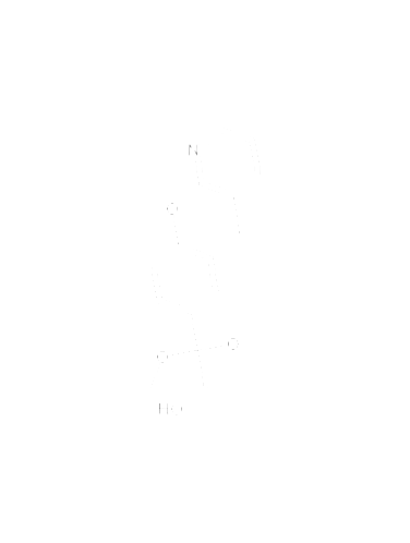 COC(OC)(c1ccc2c(c1)Cc1cccnc1O2)C(C)O